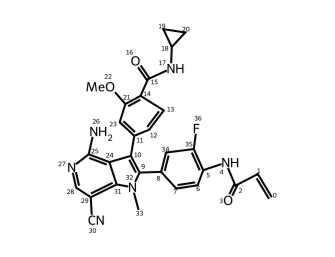 C=CC(=O)Nc1ccc(-c2c(-c3ccc(C(=O)NC4CC4)c(OC)c3)c3c(N)ncc(C#N)c3n2C)cc1F